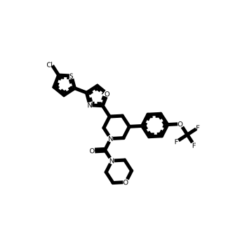 O=C(N1CCOCC1)N1CC(c2ccc(OC(F)(F)F)cc2)CC(c2nc(-c3ccc(Cl)s3)co2)C1